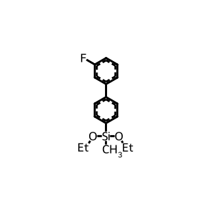 CCO[Si](C)(OCC)c1ccc(-c2cccc(F)c2)cc1